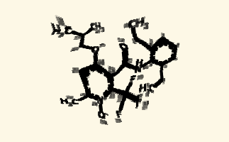 CCc1cccc(CC)c1NC(=O)c1c(OCC(C)C)cc(C)[n+]([O-])c1C(F)(F)F